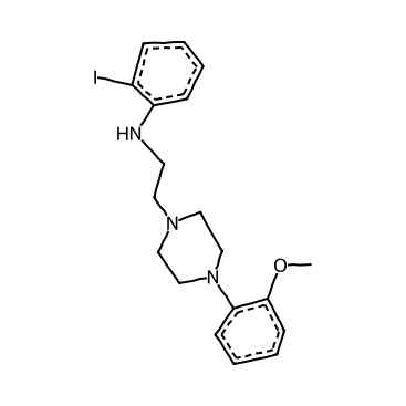 COc1ccccc1N1CCN(CCNc2ccccc2I)CC1